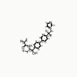 O=C(N[C@H](CF)[C@H](O)c1ccc(-c2ccc(C(F)(F)Cn3ccnc3)nc2)cc1)C(F)F